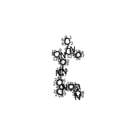 c1ccc(-c2cc(-n3c4ccccc4c4cc(-c5cnc(-c6ccc7c8ccccc8n(-c8ccc9oc%10ccncc%10c9c8)c7c6)cn5)ccc43)cc(-c3ccccc3)n2)cc1